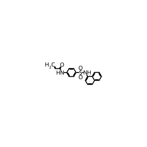 C=CC(=O)Nc1ccc(S(=O)(=O)Nc2cccc3ccccc23)cc1